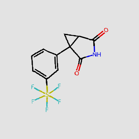 O=C1NC(=O)C2(c3cccc(S(F)(F)(F)(F)F)c3)CC12